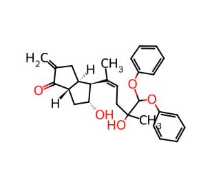 C=C1C[C@H]2[C@@H](C(C)=CCC(C)(O)C(Oc3ccccc3)Oc3ccccc3)[C@H](O)C[C@@H]2C1=O